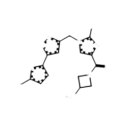 COC1CN(C(=O)c2cn(Cc3cc(-c4ccc(Cl)s4)on3)c(C(=O)O)n2)C1